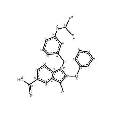 Cc1c(Oc2ccccc2)n(Cc2cccc(OC(F)F)c2)c2ccc(C(=O)O)cc12